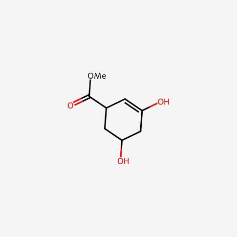 COC(=O)C1C=C(O)CC(O)C1